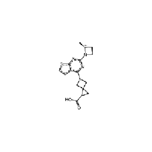 C[C@H]1CCN1c1nc(N2CC3(CC3C(=O)O)C2)c2ccsc2n1